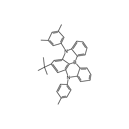 Cc1ccc(N2c3ccccc3B3c4ccccc4N(c4cc(C)cc(C)c4)c4cc(C(C)(C)C)cc2c43)cc1